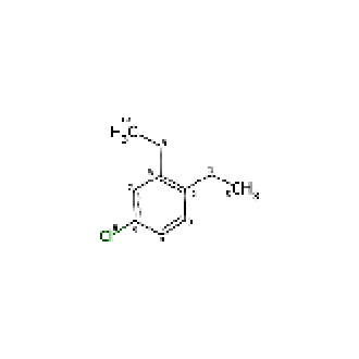 CCc1c[c]c(Cl)cc1CC